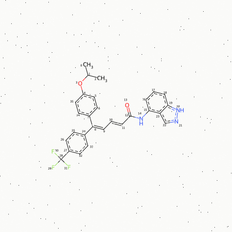 CC(C)Oc1ccc(/C(=C\C=C\C(=O)Nc2cccc3[nH]ncc23)c2ccc(C(F)(F)F)cc2)cc1